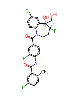 O=C(Nc1ccc(C(=O)N2CCC(F)(F)[C@](O)(CO)c3cc(Cl)ccc32)cc1F)c1cc(F)ccc1C(F)(F)F